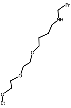 CCOCCOCCOCCCCNCC(C)C